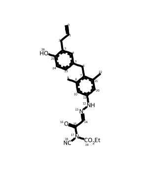 C=CCc1cc(Cc2c(C)cc(NN=CC(=O)N(C#N)C(=O)OCC)cc2C)ccc1O